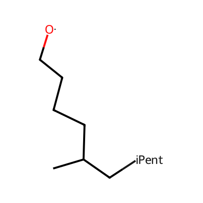 CCCC(C)CC(C)CCCC[O]